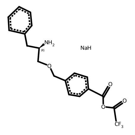 N[C@@H](COCc1ccc(C(=O)OC(=O)C(F)(F)F)cc1)Cc1ccccc1.[NaH]